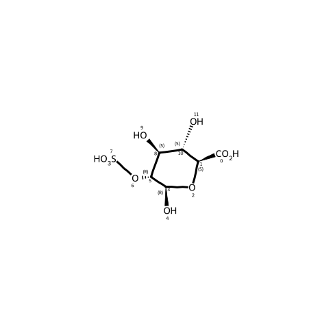 O=C(O)[C@H]1O[C@@H](O)[C@H](OS(=O)(=O)O)[C@@H](O)[C@@H]1O